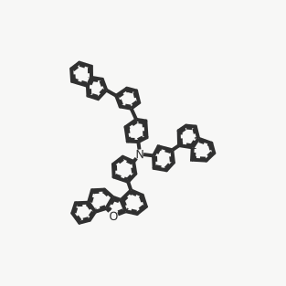 c1cc(-c2ccc(N(c3cccc(-c4cccc5ccccc45)c3)c3cccc(-c4cccc5oc6c7ccccc7ccc6c45)c3)cc2)cc(-c2ccc3ccccc3c2)c1